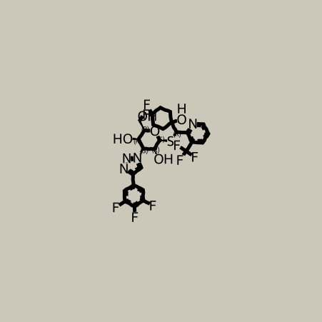 OC[C@H]1O[C@@H](S[C@H](c2ncccc2C(F)(F)F)C2(O)CCC(F)(F)CC2)[C@H](O)[C@@H](n2cc(-c3cc(F)c(F)c(F)c3)nn2)[C@H]1O